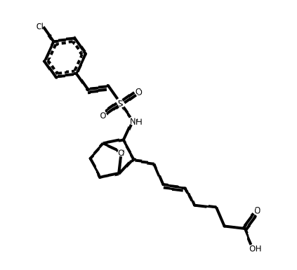 O=C(O)CCCC=CCC1C2CCC(O2)C1NS(=O)(=O)C=Cc1ccc(Cl)cc1